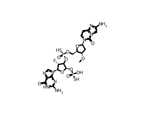 CO[C@H]1C[C@H](n2ccc3nc(N)cn3c2=O)O[C@@H]1COP(=O)(S)OC1[C@@H](OP(=O)(O)S)O[C@@H](n2cnc3c(=O)[nH]c(N)nc32)[C@@H]1F